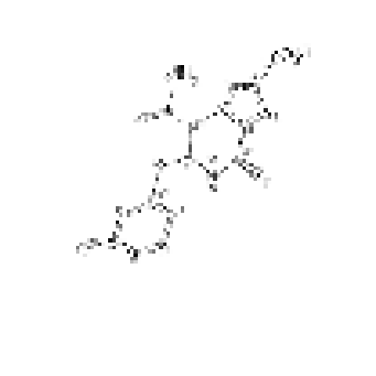 NC(=O)N1c2cc(C(=O)O)sc2C(=O)NC1Cc1cccc(Cl)c1